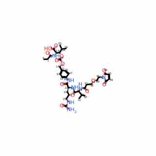 CCC(=O)N[C@H](C(=O)O)[C@H](OC(=O)OCc1ccc(NC(=O)[C@H](CCCNC(N)=O)NC(=O)[C@@H](NC(=O)CCOCCN2C(=O)C=CC2=O)C(C)C)cc1)C(C)C